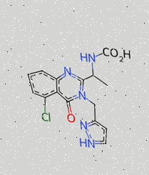 CC(NC(=O)O)c1nc2cccc(Cl)c2c(=O)n1Cc1cc[nH]n1